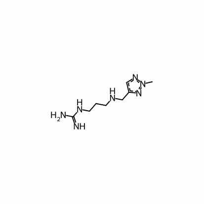 Cn1ncc(CNCCCNC(=N)N)n1